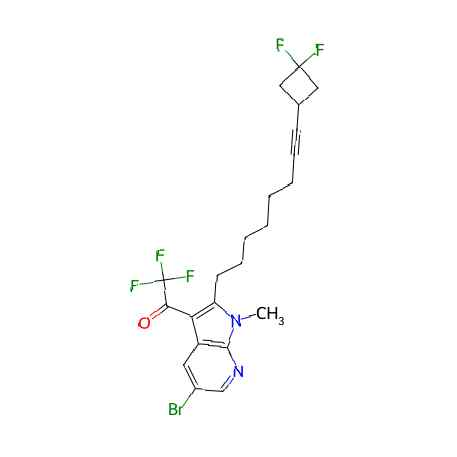 Cn1c(CCCCCCC#CC2CC(F)(F)C2)c(C(=O)C(F)(F)F)c2cc(Br)cnc21